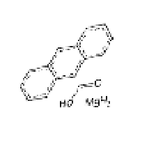 O=CO.[MgH2].c1ccc2cc3ccccc3cc2c1